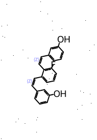 Oc1cccc(/C=C\c2cccc(F)c2/C=C\c2cccc(O)c2)c1